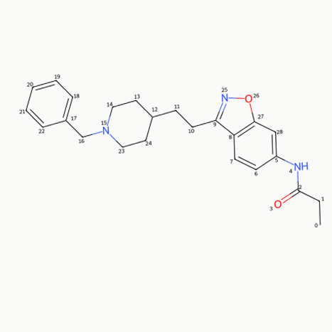 CCC(=O)Nc1ccc2c(CCC3CCN(Cc4ccccc4)CC3)noc2c1